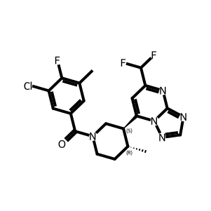 Cc1cc(C(=O)N2CC[C@@H](C)[C@H](c3cc(C(F)F)nc4ncnn34)C2)cc(Cl)c1F